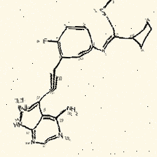 CS/C(=N\c1ccc(F)c(C#Cc2n[nH]c3ncnc(N)c23)c1)C1CC1